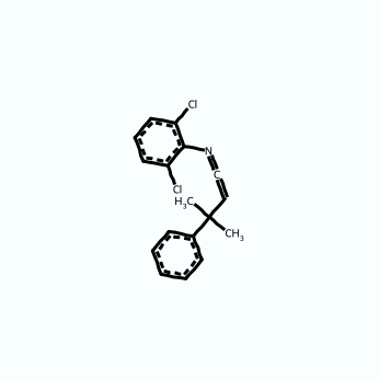 CC(C)(C=C=Nc1c(Cl)cccc1Cl)c1ccccc1